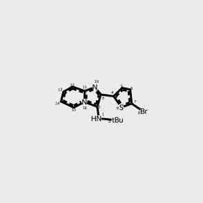 CC(C)(C)Nc1c(-c2ccc(Br)s2)nc2ccccn12